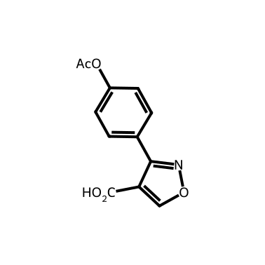 CC(=O)Oc1ccc(-c2nocc2C(=O)O)cc1